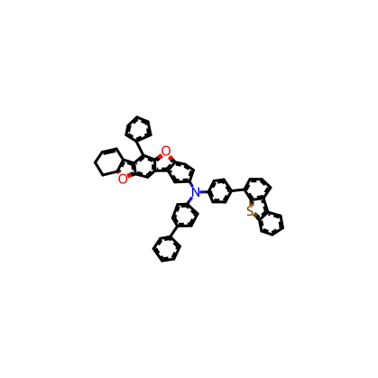 C1=Cc2c(oc3cc4c(oc5ccc(N(c6ccc(-c7ccccc7)cc6)c6ccc(-c7cccc8c7sc7ccccc78)cc6)cc54)c(-c4ccccc4)c23)CC1